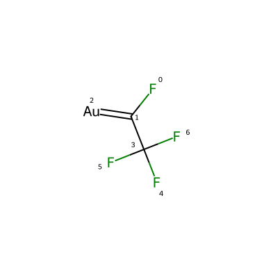 F[C](=[Au])C(F)(F)F